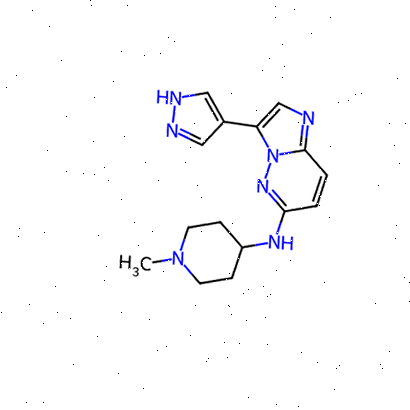 CN1CCC(Nc2ccc3ncc(-c4cn[nH]c4)n3n2)CC1